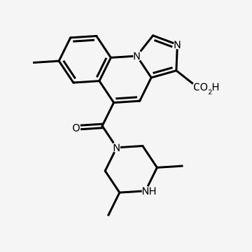 Cc1ccc2c(c1)c(C(=O)N1CC(C)NC(C)C1)cc1c(C(=O)O)ncn12